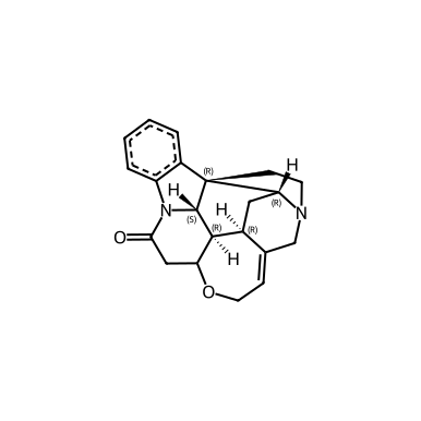 O=C1CC2OCC=C3CN4CC[C@]56c7ccccc7N1[C@H]5[C@H]2[C@H]3C[C@@H]46